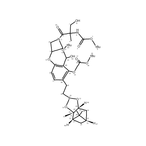 CC(C)(C)OC(=O)NC(C)(CO)C(=O)N1CC(Oc2ccc(CCB3O[C@@H]4C[C@@H]5C[C@@H](C5(C)C)[C@]4(C)O3)c(OC(=O)OC(C)(C)C)c2C(O)OC(C)(C)C)C1